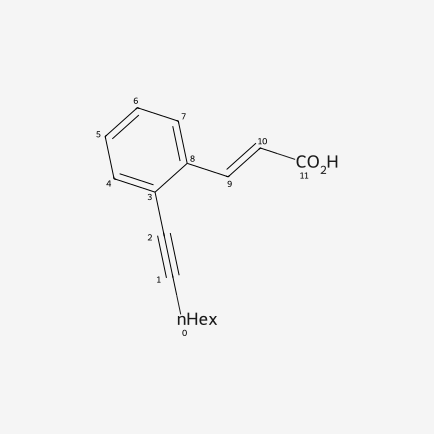 CCCCCCC#Cc1ccccc1C=CC(=O)O